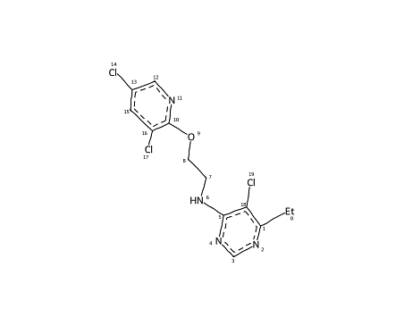 CCc1ncnc(NCCOc2ncc(Cl)cc2Cl)c1Cl